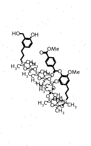 COC(=O)c1ccc(C(=O)Oc2ccc(CCC[Si](C)(C)O[Si](C)(C)O[Si](C)(C)O[Si](C)(C)O[Si](C)(C)O[Si](C)(C)O[Si](C)(C)O[Si](C)(C)O[Si](C)(C)CCCc3ccc(O)c(CO)c3)cc2OC)cc1